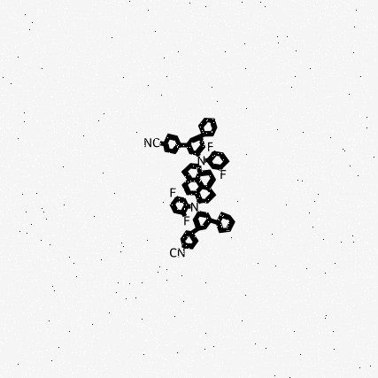 [C-]#[N+]c1ccc(-c2cc(-c3ccccc3)cc(N(c3cc(F)ccc3F)c3ccc4ccc5c(N(c6cc(-c7ccccc7)cc(-c7ccc(C#N)cc7)c6)c6cc(F)ccc6F)ccc6ccc3c4c65)c2)cc1